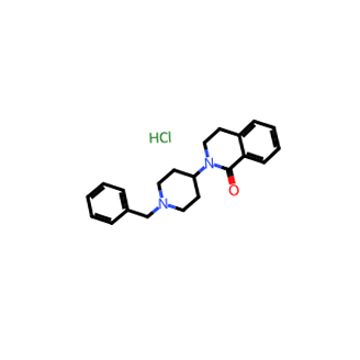 Cl.O=C1c2ccccc2CCN1C1CCN(Cc2ccccc2)CC1